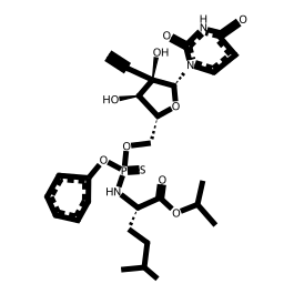 C#C[C@@]1(O)[C@H](O)[C@@H](COP(=S)(N[C@@H](CCC(C)C)C(=O)OC(C)C)Oc2ccccc2)O[C@H]1n1ccc(=O)[nH]c1=O